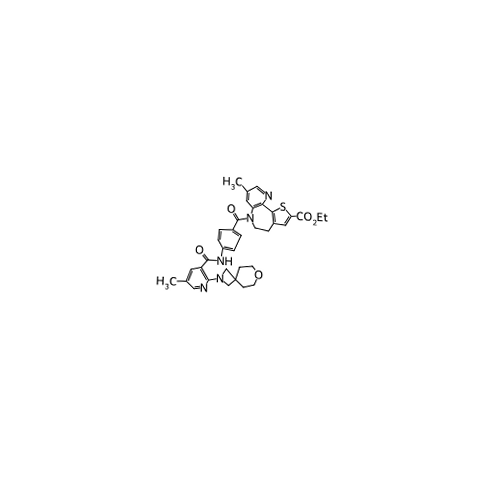 CCOC(=O)c1cc2c(s1)-c1ncc(C)cc1N(C(=O)c1ccc(NC(=O)c3cc(C)cnc3N3CC4(CCOCC4)C3)cc1)CC2